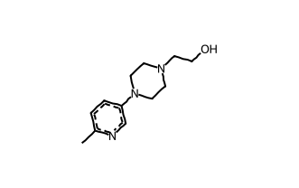 Cc1ccc(N2CCN(CCO)CC2)cn1